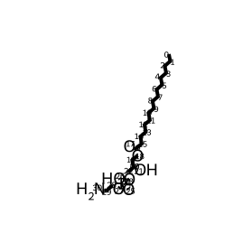 CCCCCCCCCCCCCCCCC(=O)OC[C@@H](O)COP(=O)(O)OCCN